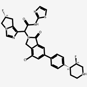 O=C(Nc1nccs1)C(c1ncn2c1C[C@@H](F)C2)N1Cc2c(Cl)cc(-c3ccc([C@H]4CCNC[C@@H]4F)cc3)cc2C1=O